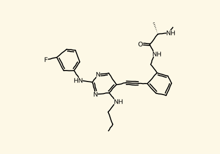 CCCNc1nc(Nc2cccc(F)c2)ncc1C#Cc1ccccc1CNC(=O)[C@H](C)NC